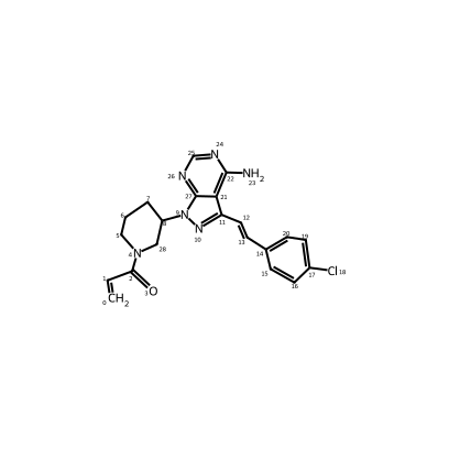 C=CC(=O)N1CCCC(n2nc(/C=C/c3ccc(Cl)cc3)c3c(N)ncnc32)C1